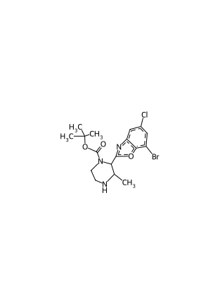 CC1NCCN(C(=O)OC(C)(C)C)C1c1nc2cc(Cl)cc(Br)c2o1